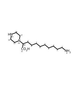 NCCCCCCCCCC(C(=O)O)N1CCNCC1